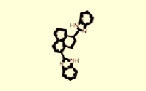 C1=CC(c2nc3ccccc3[nH]2)c2cccc3ccc(-c4nc5ccccc5[nH]4)c1c23